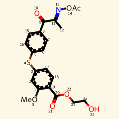 COc1cc(Sc2ccc(C(=O)/C(C)=N/OC(C)=O)cc2)ccc1C(=O)OCCO